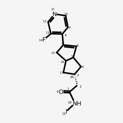 O=C(C[C@H]1CC2C=C(c3ccncc3F)CC2C1)NI